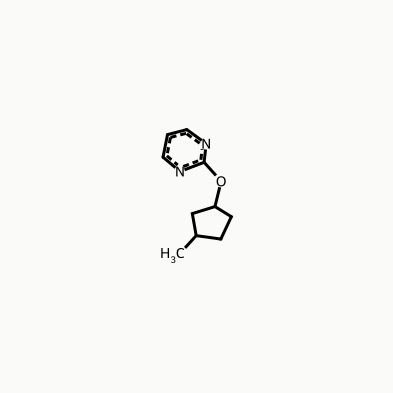 CC1CCC(Oc2ncccn2)C1